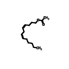 CCCCC/C=C\C/C=C\CCCOC(C)=O